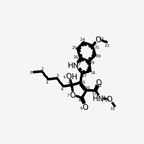 CCCCCC1(O)OC(=O)C(C(=O)NOC)=C1c1cc2cc(OC)ccc2[nH]1